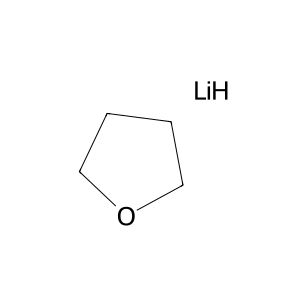 C1CCOC1.[LiH]